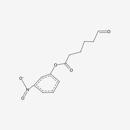 O=CCCCCC(=O)Oc1cccc([N+](=O)[O-])c1